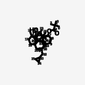 CC(C)(C)C(=O)Oc1ccc2c3c1O[C@H]1C4(C)CCC5(CC4C(C)(O)C(C)(C)C)C(C2)N(CC2CC2)CC[C@]315